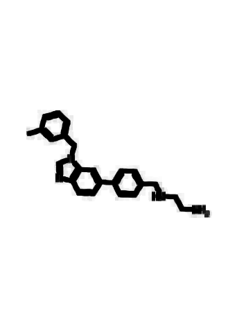 Cc1cccc(Cn2cnc3ccc(-c4ccc(CNCCN)cc4)cc32)c1